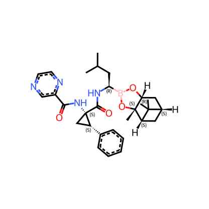 CC(C)C[C@H](NC(=O)[C@]1(NC(=O)c2cnccn2)C[C@H]1c1ccccc1)B1O[C@@H]2C[C@@H]3C[C@@H](C3(C)C)[C@]2(C)O1